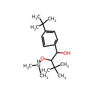 C[SiH](C)OC(C(O)c1ccc(C(C)(C)C)cc1)C(C)(C)C